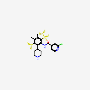 Cc1c(C)c(S(=S)(=S)[SH](=S)=S)c(NC(=O)c2ccnc(Cl)c2)c(C2CCNCC2)c1[SH](=S)=S